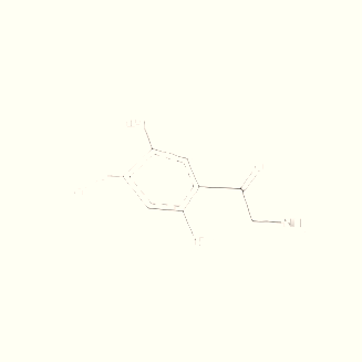 CC(C)(C)c1[c]c(C(=O)CN)c(C(C)(C)C)cc1O[O]